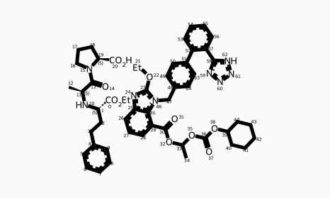 CCOC(=O)[C@H](CCc1ccccc1)N[C@@H](C)C(=O)N1CCC[C@H]1C(=O)O.CCOc1nc2cccc(C(=O)OC(C)OC(=O)OC3CCCCC3)c2n1Cc1ccc(-c2ccccc2-c2nnn[nH]2)cc1